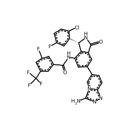 Nc1nnc2ccc(-c3cc(NC(=O)c4cc(F)cc(C(F)(F)F)c4)c4c(c3)C(=O)N[C@H]4c3cc(F)ccc3Cl)cn12